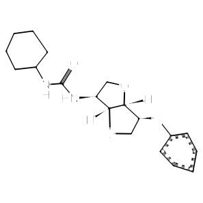 O=C(NC1CCCCC1)N[C@H]1CO[C@H]2[C@@H]1OC[C@@H]2Oc1ccccc1